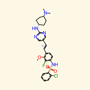 COc1c(/C=C/c2cnc(N[C@H]3CC[C@H](N(C)C)CC3)nc2)ccc(NS(=O)(=O)c2ccccc2Cl)c1F